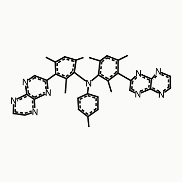 Cc1ccc(N(c2c(C)cc(C)c(-c3cnc4nccnc4n3)c2C)c2c(C)cc(C)c(-c3cnc4nccnc4n3)c2C)cc1